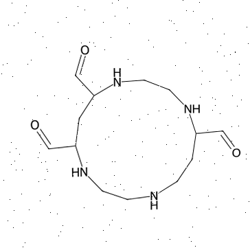 O=CC1CCNCCNC(C=O)CC(C=O)NCCN1